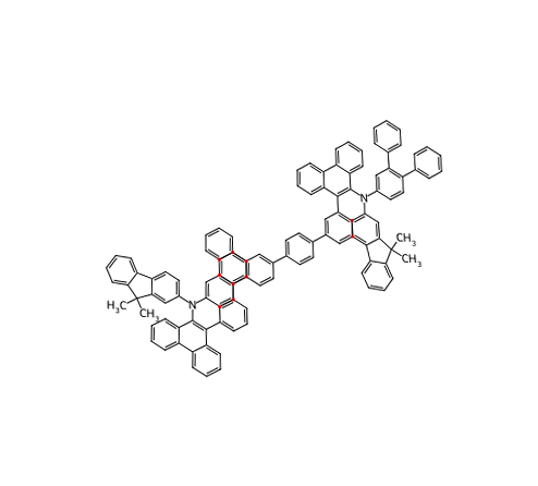 CC1(C)c2ccccc2-c2ccc(N(c3ccc(-c4ccc(-c5ccc(-c6cccc(-c7c(N(c8ccc(-c9ccccc9)c(-c9ccccc9)c8)c8ccc9c(c8)C(C)(C)c8ccccc8-9)c8ccccc8c8ccccc78)c6)cc5)cc4-c4ccccc4)cc3)c3c(-c4cccc(-c5ccccc5)c4)c4ccccc4c4ccccc34)cc21